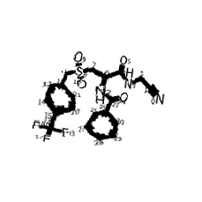 N#CCNC(=O)C(CS(=O)(=O)Cc1ccc(C(F)(F)F)cc1)NC(=O)c1ccccc1